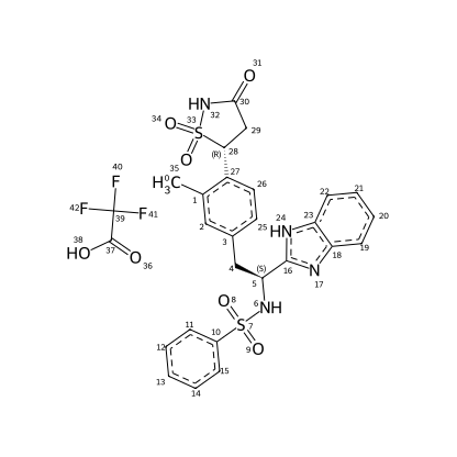 Cc1cc(C[C@H](NS(=O)(=O)c2ccccc2)c2nc3ccccc3[nH]2)ccc1[C@H]1CC(=O)NS1(=O)=O.O=C(O)C(F)(F)F